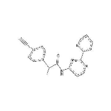 C#Cc1ccc(C(C)C(=O)Nc2ccnc(-c3ccccn3)n2)cc1